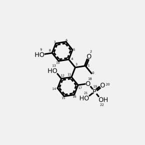 CC(=O)C(c1cccc(O)c1)c1c(O)cccc1OP(=O)(O)O